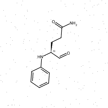 NC(=O)CC[C@@H](C=O)Nc1ccccc1